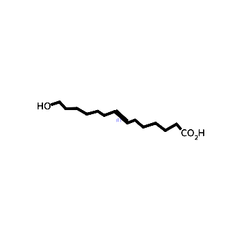 O=C(O)CCCCC/C=C/CCCCCCO